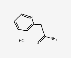 Cl.NC(=S)Cc1ccccn1